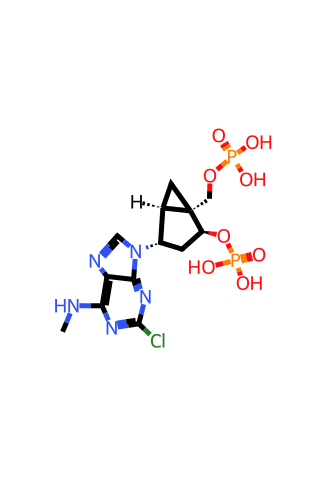 CNc1nc(Cl)nc2c1ncn2[C@H]1C[C@H](OP(=O)(O)O)[C@]2(COP(=O)(O)O)C[C@H]12